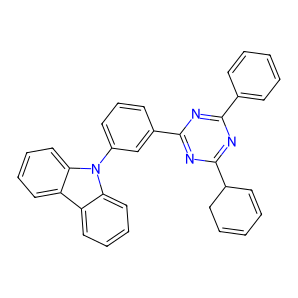 C1=CCC(c2nc(-c3ccccc3)nc(-c3cccc(-n4c5ccccc5c5ccccc54)c3)n2)C=C1